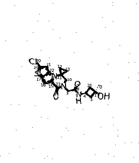 C[C@]1(O)C[C@@H](NC(=O)CN2CC3(CC3)n3c(cc4sc(Cl)cc43)C2=O)C1